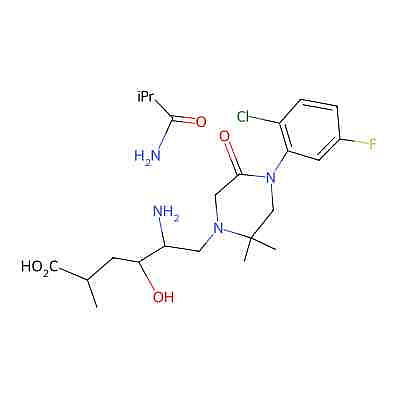 CC(C)C(N)=O.CC(CC(O)C(N)CN1CC(=O)N(c2cc(F)ccc2Cl)CC1(C)C)C(=O)O